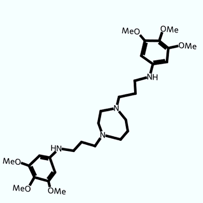 COc1cc(NCCCN2CCCN(CCCNc3cc(OC)c(OC)c(OC)c3)CC2)cc(OC)c1OC